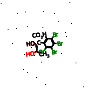 CC(O)CO.O=C(O)c1c(Br)c(Br)c(Br)c(Br)c1C(=O)O